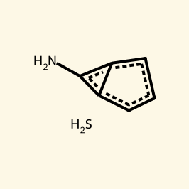 Nc1c2cccc1-2.S